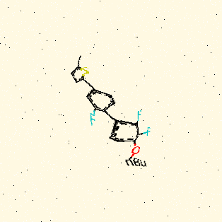 CCCCOc1ccc(-c2ccc(-c3ccc(C)s3)cc2F)c(F)c1F